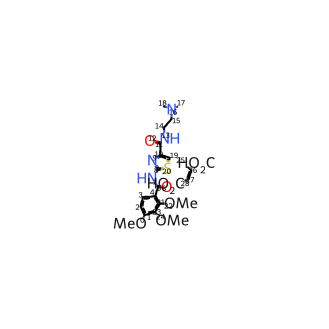 COc1ccc(C(=O)Nc2nc(C(=O)NCCN(C)C)cs2)c(OC)c1OC.O=C(O)/C=C\C(=O)O